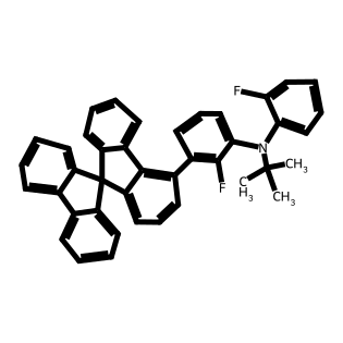 CC(C)(C)N(c1ccccc1F)c1cccc(-c2cccc3c2-c2ccccc2C32c3ccccc3-c3ccccc32)c1F